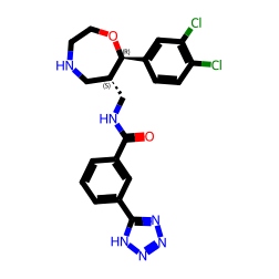 O=C(NC[C@@H]1CNCCO[C@H]1c1ccc(Cl)c(Cl)c1)c1cccc(-c2nnn[nH]2)c1